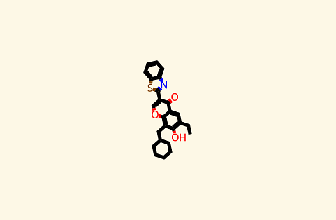 CCc1cc2c(=O)c(-c3nc4ccccc4s3)coc2c(CC2CCCCC2)c1O